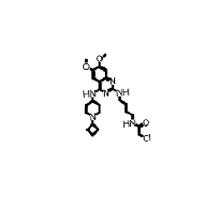 COc1cc2nc(NCCCCNC(=O)CCl)nc(NC3CCN(C4CCC4)CC3)c2cc1OC